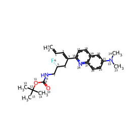 C=C/C=C(\C[C@@H](F)CNC(=O)OC(C)(C)C)c1ccc2cc(N(C)C)ccc2n1